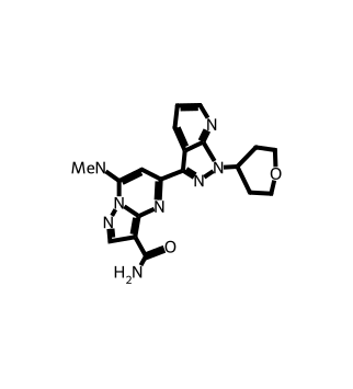 CNc1cc(-c2nn(C3CCOCC3)c3ncccc23)nc2c(C(N)=O)cnn12